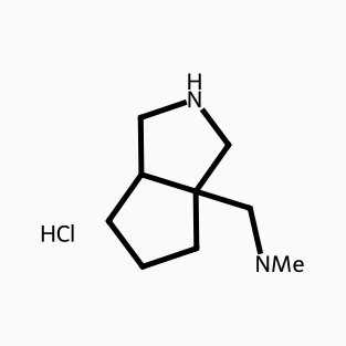 CNCC12CCCC1CNC2.Cl